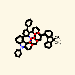 CC1(C)c2ccccc2-c2c(-c3ccc(N(c4cccc(-c5ccccc5)c4-c4ccccc4-c4ccccc4)c4cccc5c4c4ccccc4n5-c4ccccc4)cc3)cccc21